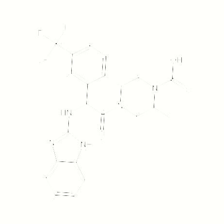 CC1CN(C(=O)C(Nc2nc3ccccc3[nH]2)c2cccc(C(F)(F)F)c2)CCN1C(=O)O